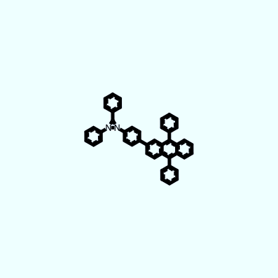 c1ccc(-c2c3ccccc3c(-c3ccccc3)c3cc(-c4ccc(N5C(c6ccccc6)N5c5ccccc5)cc4)ccc23)cc1